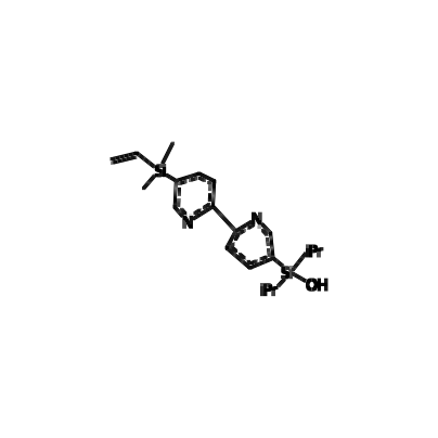 C=C[Si](C)(C)c1ccc(-c2ccc([Si](O)(C(C)C)C(C)C)cn2)nc1